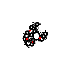 C=C1/C=C(/C)COc2ccc(C)cc2P1(=O)c1ccc2c(c1)-c1cc(P3(=O)c4cc(C)ccc4Oc4ccc(C)cc43)ccc1-c1ccc(P3(=O)c4cc(C)ccc4Oc4ccc(C)cc43)cc1C(CC)/C=C(P1(=O)c3cc(C)ccc3Oc3ccc(C)cc31)\C=C/C2